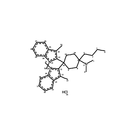 CCCCC1(N(C)C)CCC(c2c(C)c3ccccc3n2C)(c2c(C)c3ccccc3n2C)CC1.Cl